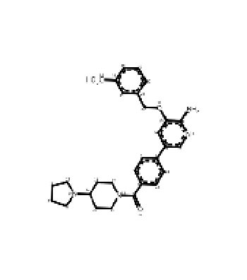 Nc1ncc(-c2ccc(C(=O)N3CCC(N4CCCC4)CC3)cc2)cc1OCc1cccc(C(=O)O)c1